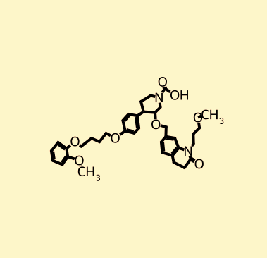 COCCCN1C(=O)CCc2ccc(COC3CN(C(=O)O)CCC3c3ccc(OCCCCOc4ccccc4OC)cc3)cc21